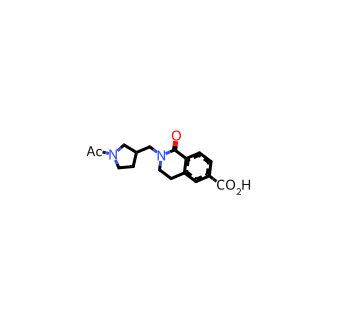 CC(=O)N1CCC(CN2CCc3cc(C(=O)O)ccc3C2=O)C1